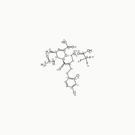 CCCN(CCc1ccc(Cl)cc1Cl)C(=O)[C@@H]1OC(C(=O)O)=C[C@H](N)[C@H]1NC(C)=O.O=C(O)C(F)(F)F